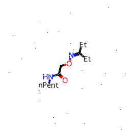 CCCCCNC(=O)CON=C(CC)CC